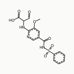 COc1cc(C(=O)NS(=O)(=O)c2ccccc2)cnc1NC(C=O)C(=O)O